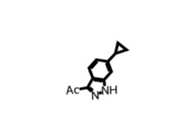 CC(=O)c1n[nH]c2cc(C3CC3)ccc12